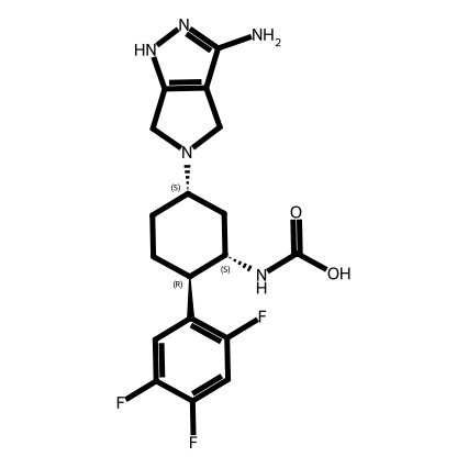 Nc1n[nH]c2c1CN([C@H]1CC[C@H](c3cc(F)c(F)cc3F)[C@@H](NC(=O)O)C1)C2